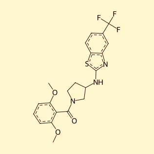 COc1cccc(OC)c1C(=O)N1CCC(Nc2nc3cc(C(F)(F)F)ccc3s2)C1